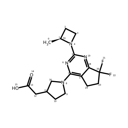 C[C@H]1CCN1c1nc(N2CCC(CC(=O)O)C2)c2c(n1)C(F)(F)CC2